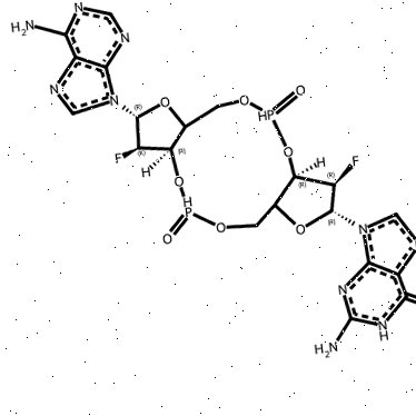 Nc1nc2c(ncn2[C@@H]2OC3CO[PH](=O)O[C@@H]4C(CO[PH](=O)O[C@H]3[C@H]2F)O[C@@H](n2cnc3c(N)ncnc32)[C@@H]4F)c(=O)[nH]1